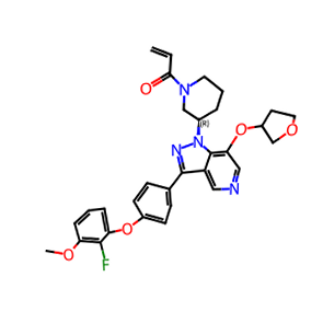 C=CC(=O)N1CCC[C@@H](n2nc(-c3ccc(Oc4cccc(OC)c4F)cc3)c3cncc(OC4CCOC4)c32)C1